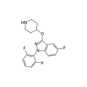 Fc1ccc2c(c1)c(OC1CCNCC1)nn2-c1c(F)cccc1F